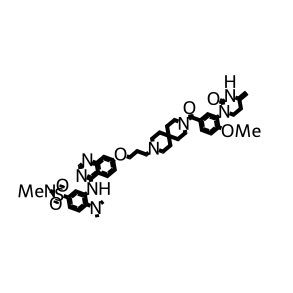 C=C1CCN(c2cc(C(=O)N3CCC4(CCN(CCCOc5ccc6c(Nc7cc(S(=O)(=O)NC)ccc7N(C)C)ncnc6c5)CC4)CC3)ccc2OC)C(=O)N1